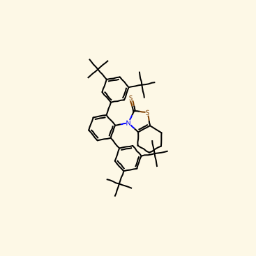 CC(C)(C)c1cc(-c2cccc(-c3cc(C(C)(C)C)cc(C(C)(C)C)c3)c2-n2c3c(sc2=S)CCCC3)cc(C(C)(C)C)c1